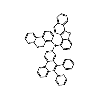 c1ccc(-c2c(-c3ccccc3)c3cc(N(c4cccc5c4ccc4ccccc45)c4cccc5oc6c7ccccc7ccc6c45)ccc3c3ccccc23)cc1